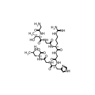 CC(C)C[C@H](NC(=O)CNC(=O)[C@H](Cc1c[nH]cn1)NC(=O)CNC(=O)[C@H](CCCNC(=N)N)NC(=O)CNC(=O)[C@@H](NC(=O)CN)[C@@H](C)O)C(=O)O